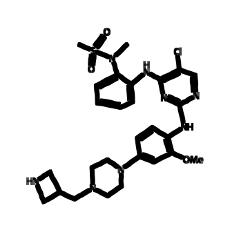 COc1cc(N2CCN(CC3CNC3)CC2)ccc1Nc1ncc(Cl)c(Nc2ccccc2N(C)S(C)(=O)=O)n1